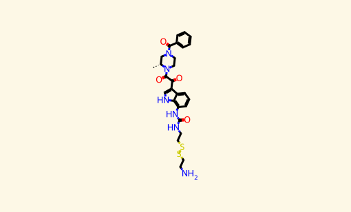 C[C@@H]1CN(C(=O)c2ccccc2)CCN1C(=O)C(=O)c1c[nH]c2c(NC(=O)NCCSSCCN)cccc12